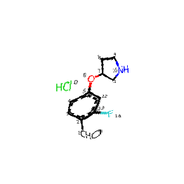 Cl.O=Cc1ccc(OC2CCNC2)cc1F